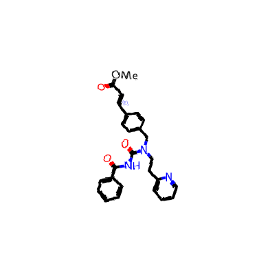 COC(=O)/C=C/c1ccc(CN(CCc2ccccn2)C(=O)NC(=O)c2ccccc2)cc1